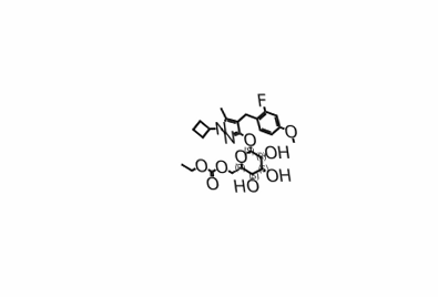 CCOC(=O)OC[C@H]1O[C@@H](Oc2nn(C3CCC3)c(C)c2Cc2ccc(OC)cc2F)[C@H](O)[C@@H](O)[C@@H]1O